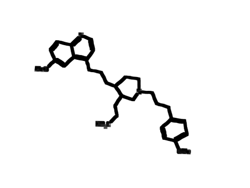 COc1ccc(CCCN2CCC(CCCc3ccnc4ccc(OC)cc34)C(CCC(=O)O)C2)cc1